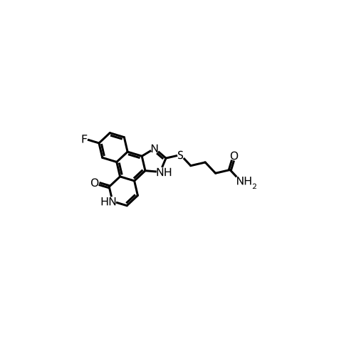 NC(=O)CCCSc1nc2c3ccc(F)cc3c3c(=O)[nH]ccc3c2[nH]1